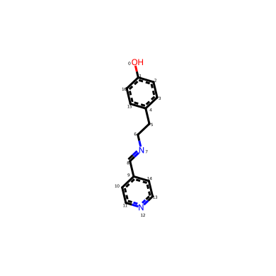 Oc1ccc(CC/N=C/c2ccncc2)cc1